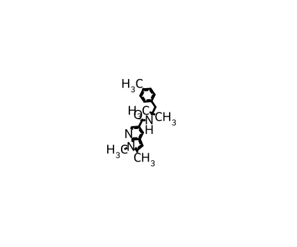 Cc1ccc(CC(C)(C)NC(=O)c2cnc3c(c2)cc(C)n3C)cc1